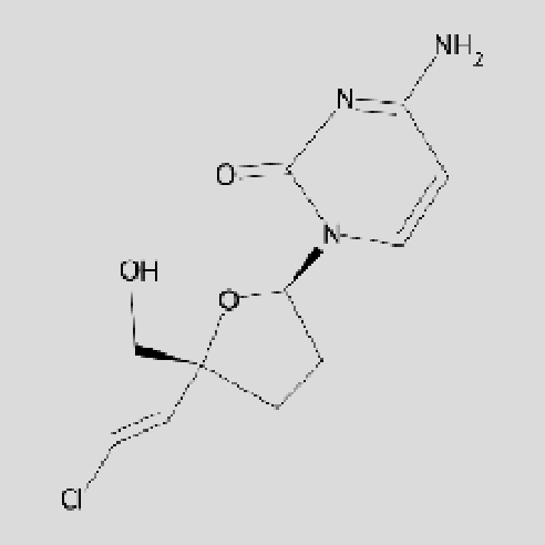 Nc1ccn([C@H]2CC[C@@](/C=C/Cl)(CO)O2)c(=O)n1